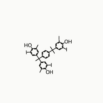 Cc1cc(C(C)(c2ccc(C(C)(C)c3cc(I)c(O)c(I)c3)cc2)c2cc(C)c(O)c(I)c2)cc(I)c1O